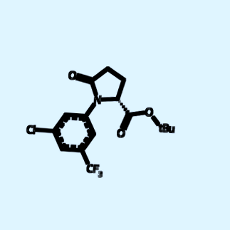 CC(C)(C)OC(=O)[C@H]1CCC(=O)N1c1cc(Cl)cc(C(F)(F)F)c1